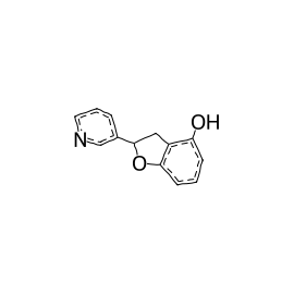 Oc1cccc2c1CC(c1cccnc1)O2